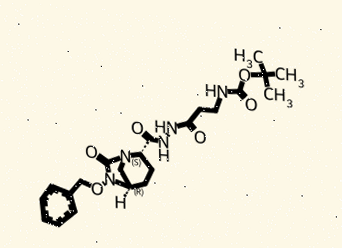 CC(C)(C)OC(=O)NCCC(=O)NNC(=O)[C@@H]1CC[C@@H]2CN1C(=O)N2OCc1ccccc1